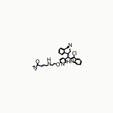 CC/C(=C(/c1ccc(OCCNC/C=C/C(=O)N(C)C)nc1)c1[nH]c2ccccc2c1Cl)c1ccccc1C#N